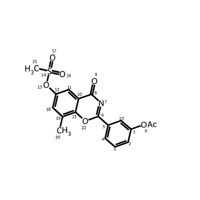 CC(=O)Oc1cccc(-c2nc(=O)c3cc(OS(C)(=O)=O)cc(C)c3o2)c1